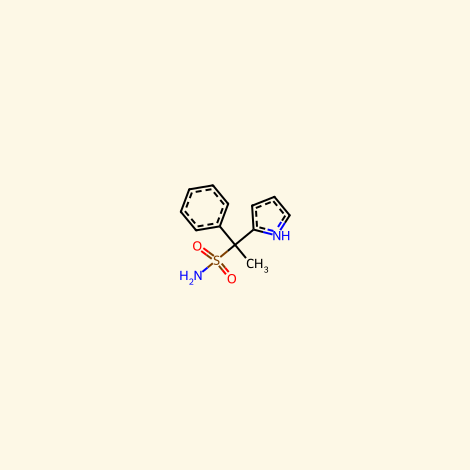 CC(c1ccccc1)(c1ccc[nH]1)S(N)(=O)=O